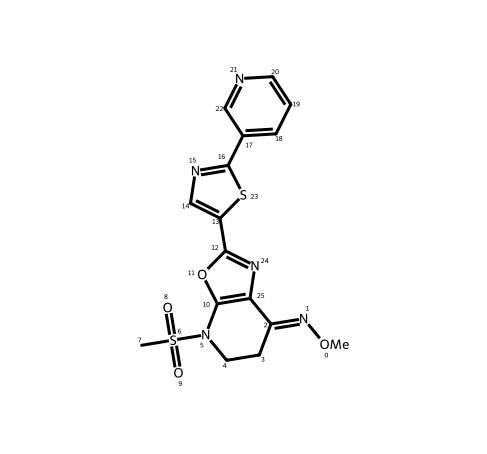 CO/N=C1\CCN(S(C)(=O)=O)c2oc(-c3cnc(-c4cccnc4)s3)nc21